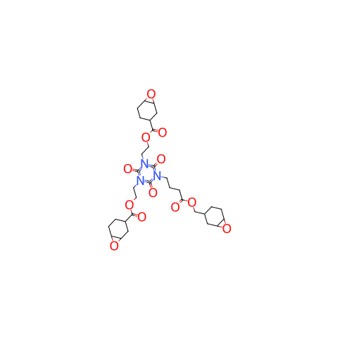 O=C(CCCn1c(=O)n(CCOC(=O)C2CCC3OC3C2)c(=O)n(CCOC(=O)C2CCC3OC3C2)c1=O)OCC1CCC2OC2C1